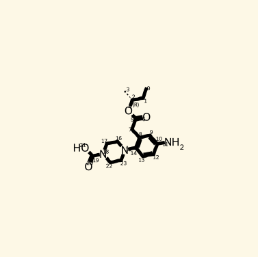 CC[C@@H](C)OC(=O)Cc1cc(N)ccc1N1CCN(C(=O)O)CC1